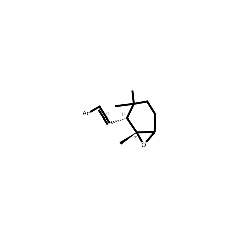 CC(=O)/C=C/[C@@H]1C(C)(C)CCC2O[C@@]21C